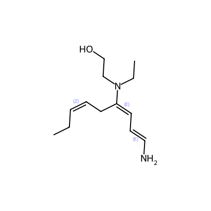 CC/C=C\C/C(=C\C=C\N)N(CC)CCO